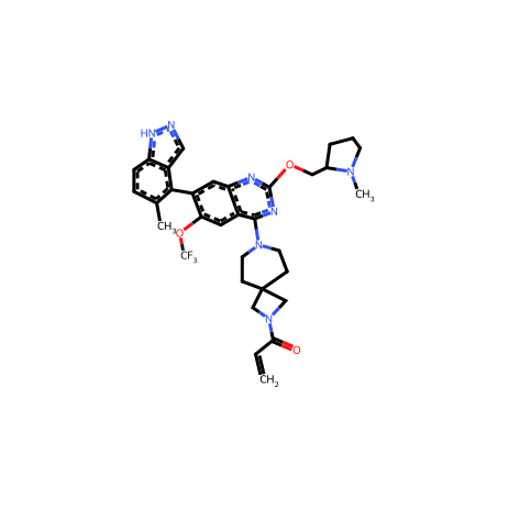 C=CC(=O)N1CC2(CCN(c3nc(OCC4CCCN4C)nc4cc(-c5c(C)ccc6[nH]ncc56)c(OC(F)(F)F)cc34)CC2)C1